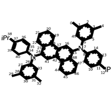 Cc1cc(C)cc(N(c2ccc(C(C)C)cc2)c2cc3c4ccccc4c(N(c4cc(C)cc(C)c4)C4C=CC(C(C)C)=CC4)cc3c3ccccc23)c1